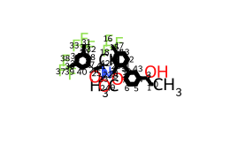 CCC(O)c1ccc(OC)c(-c2ccc(C(F)(F)F)cc2CN2C(=O)O[C@H](c3cc(C(F)(F)F)cc(C(F)(F)F)c3)[C@@H]2C)c1